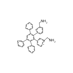 NCc1cccc(-c2c(-c3ccccc3)cc(-c3ccccc3)c(-c3ccccc3)c2-c2cccc(CN)c2)c1